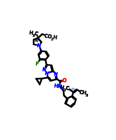 C/C=C(/C)c1ccccc1CCNC(=O)c1cc(C2CC2)n2nc(-c3ccc(N4CC[C@@](C)(CC(=O)O)C4)cc3F)cc2n1